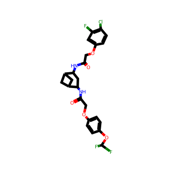 O=C(COc1ccc(OC(F)F)cc1)NC1CC(NC(=O)COc2ccc(Cl)c(F)c2)C2CC1C2